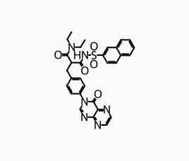 CCN(CC)C(=O)C(Cc1ccc(-n2cnc3nccnc3c2=O)cc1)C(=O)NS(=O)(=O)c1ccc2ccccc2c1